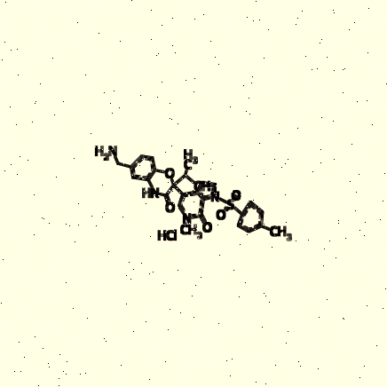 Cc1ccc(S(=O)(=O)n2ccc3c(C4(C(C)C)Oc5ccc(CN)cc5NC4=O)cn(C)c(=O)c32)cc1.Cl